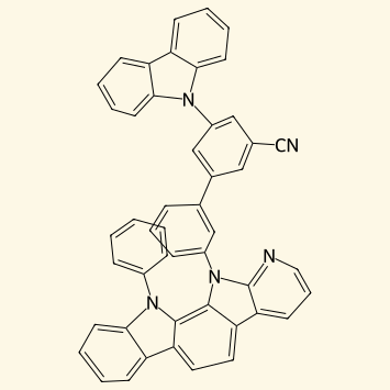 N#Cc1cc(-c2cccc(-n3c4ncccc4c4ccc5c6ccccc6n(-c6ccccc6)c5c43)c2)cc(-n2c3ccccc3c3ccccc32)c1